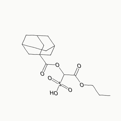 CCCOC(=O)C(OC(=O)C12CC3CC(CC(C3)C1)C2)S(=O)(=O)O